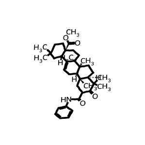 COC(=O)[C@]12CCC(C)(C)C[C@H]1C1=CC[C@@H]3[C@@]4(C)CC(C(=O)Nc5ccccc5)C(=O)C(C)(C)[C@@H]4CC[C@@]3(C)[C@]1(C)CC2